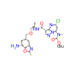 Cc1nc2cc(COC[C@@H](C)NC(=O)c3cnn4c(N(C)C(=O)OC(C)(C)C)cc(Cl)nc34)cc(N)c2o1